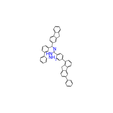 NN/C(=N\C(c1cccc(-c2ccccc2)c1)c1ccc2c(c1)Cc1ccccc1-2)c1ccc(-c2cccc3c2Cc2ccc(-c4ccccc4)cc2-3)cc1